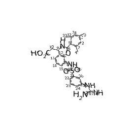 Cc1cc(C)c(C(=O)NC(CC(=O)O)c2cccc(NS(=O)(=O)c3cccc(NC(=N)N)c3)c2)c(C)c1